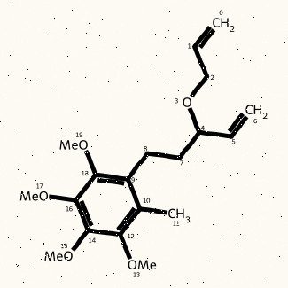 C=CCOC(C=C)CCc1c(C)c(OC)c(OC)c(OC)c1OC